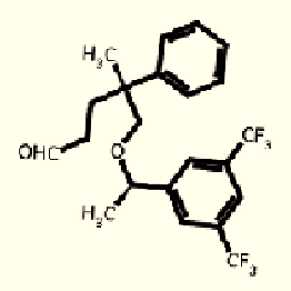 C[C@@H](OC[C@](C)(CCC=O)c1ccccc1)c1cc(C(F)(F)F)cc(C(F)(F)F)c1